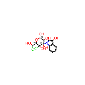 Oc1cn([C@@]2(O)[C@H](O)[C@@H](O)O[C@H](C(O)Cl)[C@]2(O)Cl)c2ccccc12